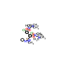 CCN(CC(C)N(C)C)S(=O)(=O)c1cc(-c2cc(-c3nn(C)c(=NC4CCCCC4)s3)cc(S(=O)(=O)N(CC)CC(C)N(C)C)c2Cl)ccc1Cl